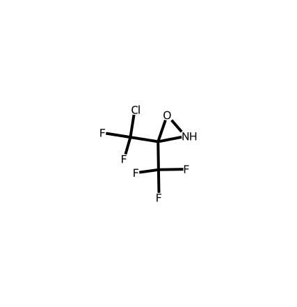 FC(F)(F)C1(C(F)(F)Cl)NO1